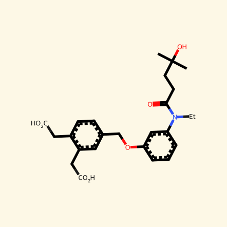 CCN(C(=O)CCC(C)(C)O)c1cccc(OCc2ccc(CC(=O)O)c(CC(=O)O)c2)c1